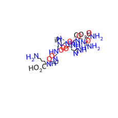 CC(C)C[C@H](NC(=O)[C@H](Cc1c[nH]cn1)NC(=O)[C@H](CC(=O)O)NC(=O)[C@H](CCC(N)=O)NC(=O)CN)C(=O)N[C@@H](C)C(=O)NCC(=O)N1CCC[C@H]1C(=O)N[C@@H](CCCCN)C(=O)O